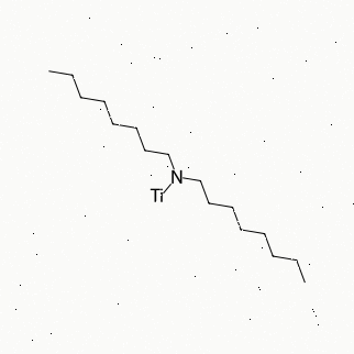 CCCCCCCC[N]([Ti])CCCCCCCC